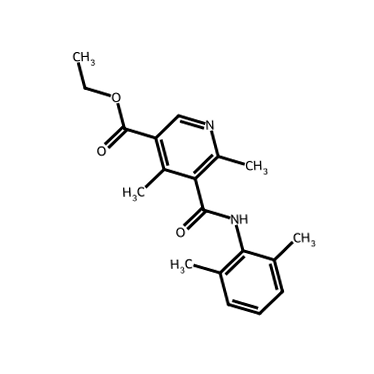 CCOC(=O)c1cnc(C)c(C(=O)Nc2c(C)cccc2C)c1C